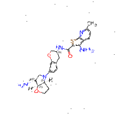 Cc1ccc2c(N)c(C(=O)N[C@H]3COc4cc(N5C[C@@H](N)[C@@H]6OCC[C@@H]65)ccc4C3)sc2n1